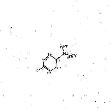 CCCN(CCC)c1cnc(C)cn1